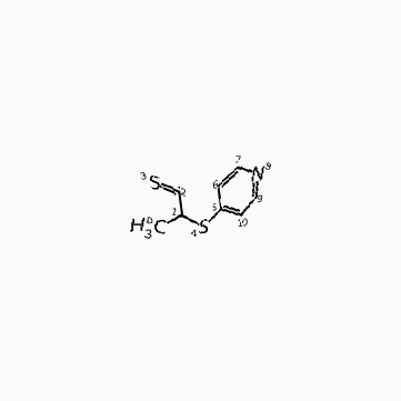 CC([C]=S)Sc1ccncc1